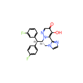 O=c1cnn2c(c1O)-c1nccn1C[C@@H]2[C@@H](c1ccc(F)cc1)c1cccc(F)c1